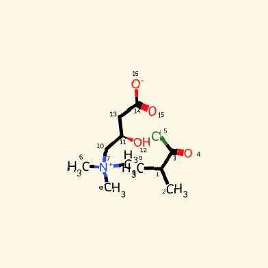 CC(C)C(=O)Cl.C[N+](C)(C)C[C@H](O)CC(=O)[O-]